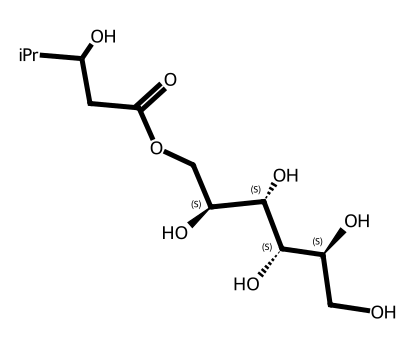 CC(C)C(O)CC(=O)OC[C@H](O)[C@H](O)[C@@H](O)[C@@H](O)CO